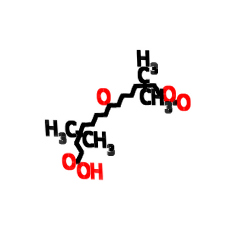 CC(C)(CCCCC(=O)CCCCC(C)(C)CCC(=O)O)CCOC=O